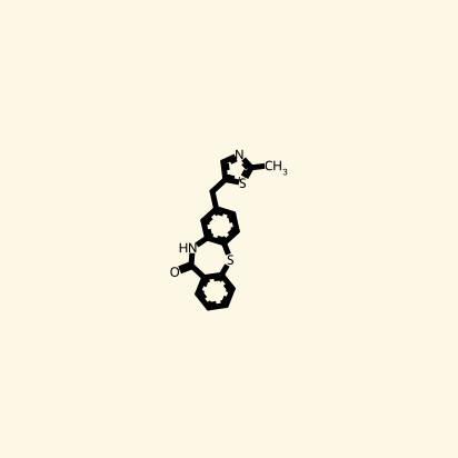 Cc1ncc(Cc2ccc3c(c2)NC(=O)c2ccccc2S3)s1